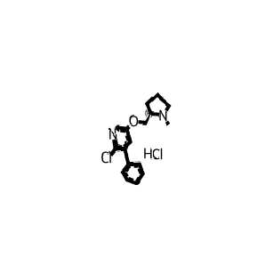 CN1CCC[C@@H]1COc1cnc(Cl)c(-c2ccccc2)c1.Cl